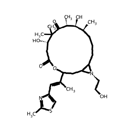 C/C(=C\c1csc(C)n1)C1CC2C(CCC[C@H](C)[C@H](O)[C@@H](C)C(=O)C(C)(C)[C@@H](O)CC(=O)O1)[N@@]2CCO